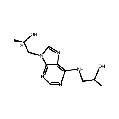 CC(O)CNc1ncnc2c1ncn2C[C@@H](C)O